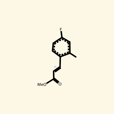 COC(=O)/C=C/c1ccc(F)cc1C